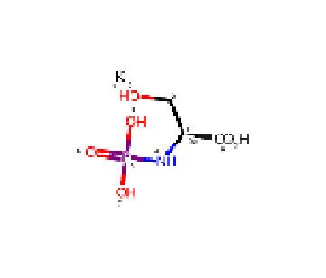 O=C(O)[C@H](CO)NP(=O)(O)O.[K]